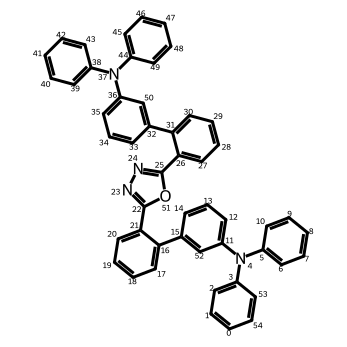 c1ccc(N(c2ccccc2)c2cccc(-c3ccccc3-c3nnc(-c4ccccc4-c4cccc(N(c5ccccc5)c5ccccc5)c4)o3)c2)cc1